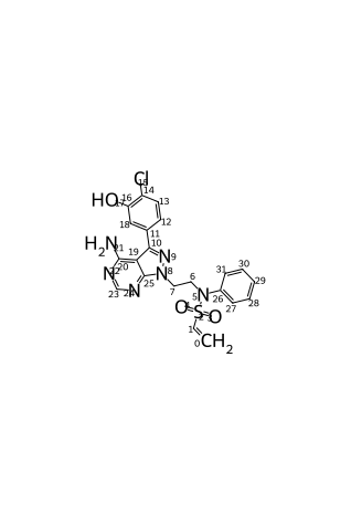 C=CS(=O)(=O)N(CCn1nc(-c2ccc(Cl)c(O)c2)c2c(N)ncnc21)c1ccccc1